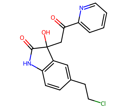 O=C(CC1(O)C(=O)Nc2ccc(CCCl)cc21)c1ccccn1